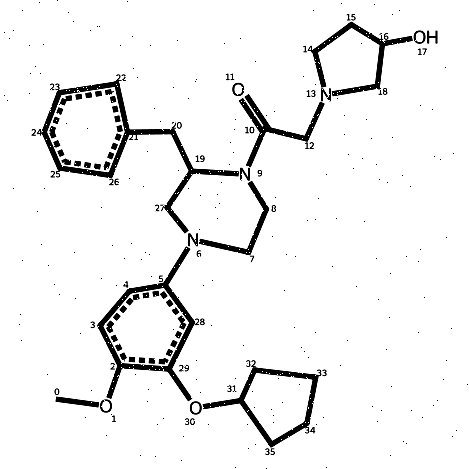 COc1ccc(N2CCN(C(=O)CN3CCC(O)C3)C(Cc3ccccc3)C2)cc1OC1CCCC1